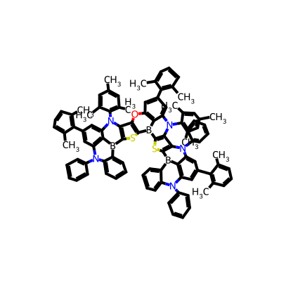 Cc1cc(C)c(N2c3cc(-c4c(C)cccc4C)cc4c3B(c3ccccc3N4c3ccccc3)c3sc4c(c32)Oc2cc(-c3c(C)cccc3C)cc3c2B4c2sc4c(c2N3c2c(C)cc(C)cc2C)N(c2ccccc2)c2cc(-c3c(C)cccc3C)cc3c2B4c2ccccc2N3c2ccccc2)c(C)c1